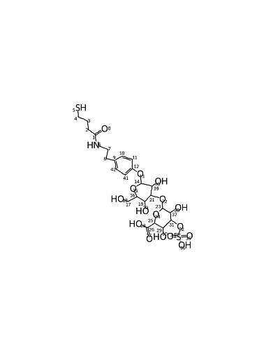 O=C(CCCS)NCCc1ccc(OC2OC(CO)C(O)C(OC3OC(C(=O)O)C(O)C(OS(=O)(=O)O)C3O)C2O)cc1